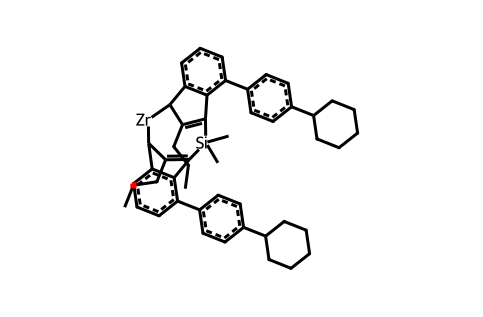 CCCC1=C2c3c(-c4ccc(C5CCCCC5)cc4)cccc3[CH]1[Zr][CH]1C(CCC)=C(c3c(-c4ccc(C5CCCCC5)cc4)cccc31)[Si]2(C)C